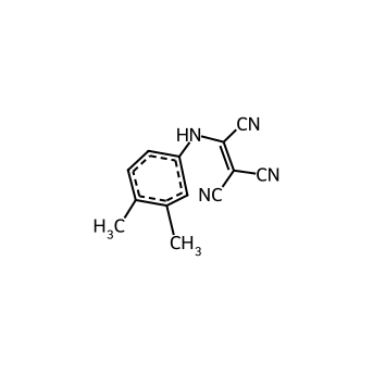 Cc1ccc(NC(C#N)=C(C#N)C#N)cc1C